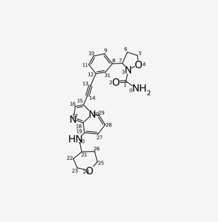 NC(=O)N1OCCC1c1cccc(C#Cc2cnc3c(NC4CCOCC4)cccn23)c1